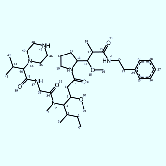 CCC(C)C(C(CC(=O)N1CCCC1C(OC)C(C)C(=O)NCCc1ccccc1)OC)N(C)C(=O)CNC(=O)C(C(C)C)N1CCNCC1